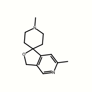 Cc1cc2c(cn1)COC21CCN(C)CC1